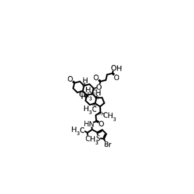 CC(C)C(NC(=O)C[C@@H](C)C1CC[C@H]2[C@@H]3[C@H](OC(=O)CCC(=O)O)C[C@@H]4CC(=O)CC[C@]4(C)[C@H]3CC[C@]12C)c1ccc(Br)s1